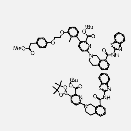 CC(C)(C)OC(=O)c1nc(N2CCc3cccc(C(=O)Nc4nc5ccccc5s4)c3C2)ccc1B1OC(C)(C)C(C)(C)O1.COC(=O)Cc1ccc(OCCOc2cccc(-c3ccc(N4CCc5cccc(C(=O)Nc6nc7ccccc7s6)c5C4)nc3C(=O)OC(C)(C)C)c2C)cc1